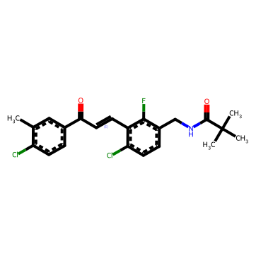 Cc1cc(C(=O)/C=C/c2c(Cl)ccc(CNC(=O)C(C)(C)C)c2F)ccc1Cl